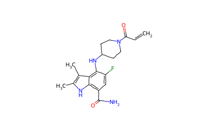 C=CC(=O)N1CCC(Nc2c(F)cc(C(N)=O)c3[nH]c(C)c(C)c23)CC1